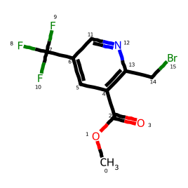 COC(=O)c1cc(C(F)(F)F)cnc1CBr